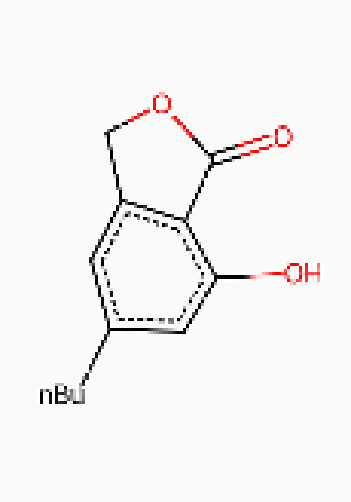 CCCCc1cc(O)c2c(c1)COC2=O